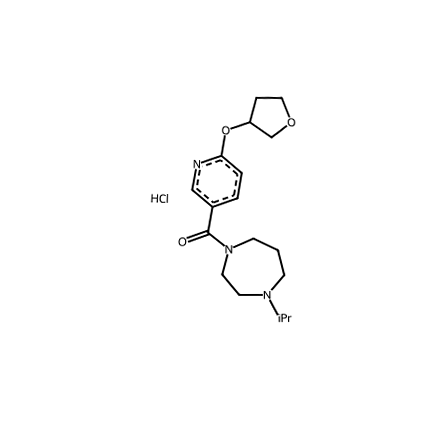 CC(C)N1CCCN(C(=O)c2ccc(OC3CCOC3)nc2)CC1.Cl